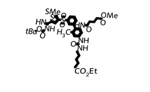 CCOC(=O)CCCCCNC(=O)Nc1cc(C)c(-c2cccc(S(=O)(=O)c3cc(C(=N)NC(=O)OC(C)(C)C)sc3SC)c2)c(NC(=O)CCCC(=O)OC)c1